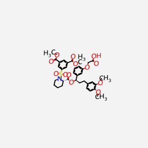 COC(=O)c1cc(C(=O)OC)cc(S(=O)(=O)N2CCCC[C@H]2C(=O)O[C@H](CCc2ccc(OC)c(OC)c2)c2cccc(OCC(=O)O)c2)c1